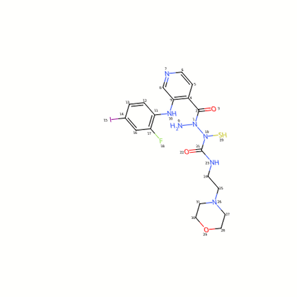 NN(C(=O)c1ccncc1Nc1ccc(I)cc1F)N(S)C(=O)NCCN1CCOCC1